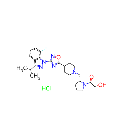 CC(C)c1nn(-c2noc(C3CCN(C[C@H]4CCCN4C(=O)CO)CC3)n2)c2c(F)cccc12.Cl